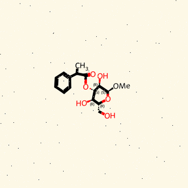 CO[C@H]1O[C@H](CO)[C@@H](O)[C@H](OC(=O)C(C)c2ccccc2)[C@H]1O